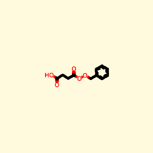 O=C(O)CCC(=O)OOCc1ccccc1